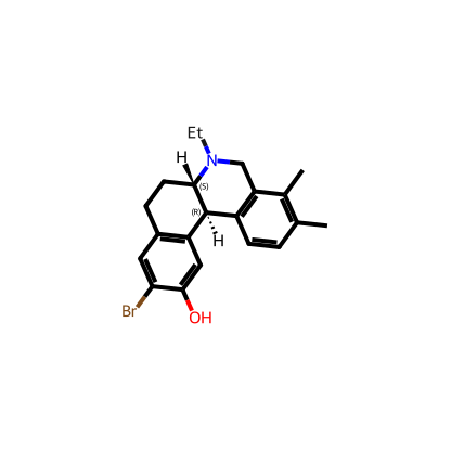 CCN1Cc2c(ccc(C)c2C)[C@H]2c3cc(O)c(Br)cc3CC[C@@H]21